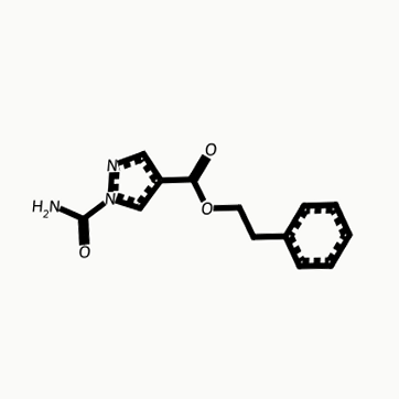 NC(=O)n1cc(C(=O)OCCc2ccccc2)cn1